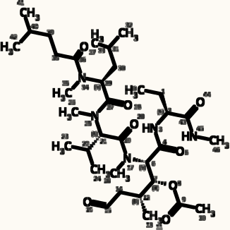 CC[C@H](NC(=O)[C@H]([C@H](OC(C)=O)[C@H](C)CC=O)N(C)C(=O)[C@H](C(C)C)N(C)C(=O)[C@H](CC(C)C)N(C)C(=O)CCC(C)C)C(=O)NC